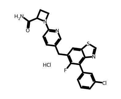 Cl.NC(=O)C1CCN1c1ccc(Cc2cc3scnc3c(-c3cccc(Cl)c3)c2F)cn1